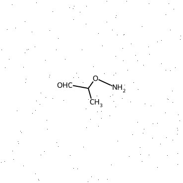 CC(C=O)ON